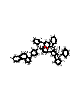 CC1(C)c2ccccc2-c2cc(-c3ccccc3N(c3ccc(-c4ccc5c(c4)c4ccccc4n5-c4ccccc4)cc3)c3ccc(-c4cccc5c4ccc4ccccc45)cc3)ccc21